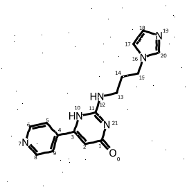 O=c1cc(-c2ccncc2)[nH]c(NCCCn2ccnc2)n1